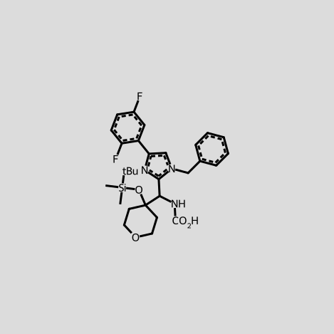 CC(C)(C)[Si](C)(C)OC1(C(NC(=O)O)c2nc(-c3cc(F)ccc3F)cn2Cc2ccccc2)CCOCC1